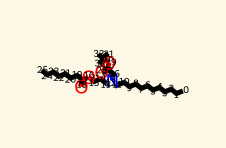 CCCCCCCCCCCCN(CCCOC(=O)CCCCCCC)CC(=O)OC(C)(C)C